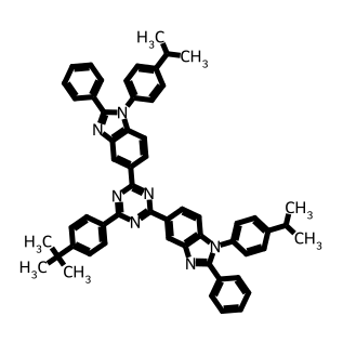 CC(C)c1ccc(-n2c(-c3ccccc3)nc3cc(-c4nc(-c5ccc(C(C)(C)C)cc5)nc(-c5ccc6c(c5)nc(-c5ccccc5)n6-c5ccc(C(C)C)cc5)n4)ccc32)cc1